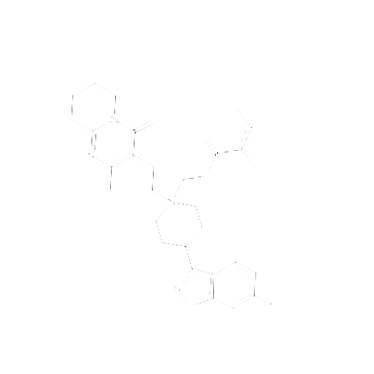 C/C=C(/C)C(=O)OC[N+]1(CCc2c(C)nc3n(c2=O)CCCC3)CCC(c2noc3cc(F)ccc23)CC1